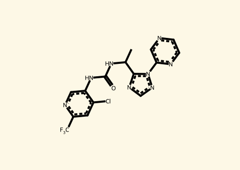 CC(NC(=O)Nc1cnc(C(F)(F)F)cc1Cl)c1ncnn1-c1cnccn1